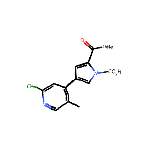 COC(=O)c1cc(-c2cc(Cl)ncc2C)cn1C(=O)O